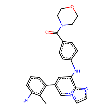 Cc1c(N)cccc1-c1cc(Nc2ccc(C(=O)N3CCOCC3)cc2)c2nccn2c1